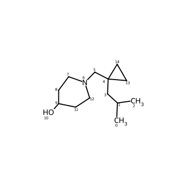 CC(C)CC1(CN2CCC(O)CC2)CC1